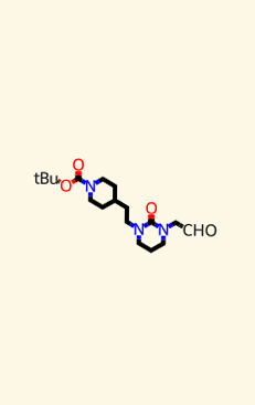 CC(C)(C)OC(=O)N1CCC(CCN2CCCN(CC=O)C2=O)CC1